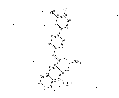 CC1C/C(=C\c2ccc(-c3ccc(Cl)c(Cl)c3)cc2)c2nc3ccccc3c(C(=O)O)c2C1